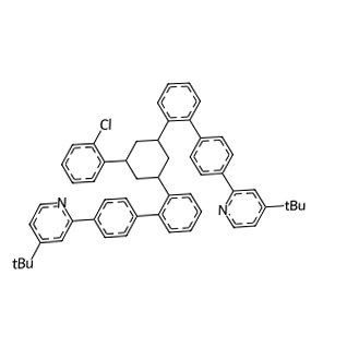 CC(C)(C)c1ccnc(-c2ccc(-c3ccccc3C3CC(c4ccccc4Cl)CC(c4ccccc4-c4ccc(-c5cc(C(C)(C)C)ccn5)cc4)C3)cc2)c1